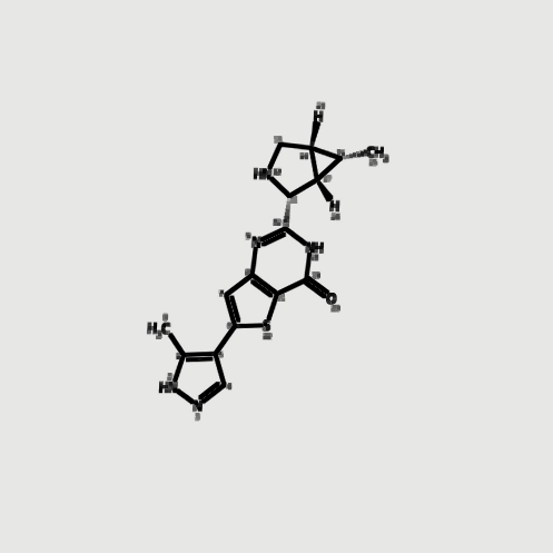 Cc1[nH]ncc1-c1cc2nc([C@@H]3NC[C@@H]4[C@H](C)[C@@H]43)[nH]c(=O)c2s1